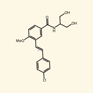 COc1ccc(C(=O)NC(CO)CO)cc1/C=C/c1ccc(Cl)cc1